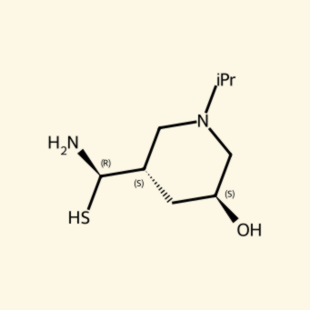 CC(C)N1C[C@@H](O)C[C@H]([C@H](N)S)C1